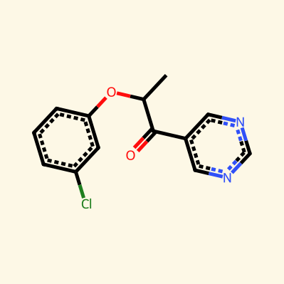 CC(Oc1cccc(Cl)c1)C(=O)c1cncnc1